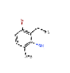 COc1ccc(Br)c(CN=O)c1N